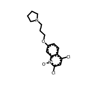 [O-][n+]1c(Cl)cc(Cl)c2ccc(OCCCN3CCCC3)cc21